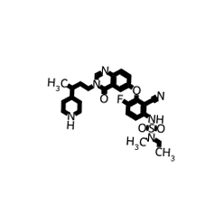 CCN(C)S(=O)(=O)Nc1ccc(F)c(Oc2ccc3ncn(CCC(C)C4CCNCC4)c(=O)c3c2)c1C#N